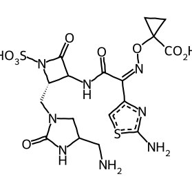 NCC1CN(C[C@H]2C(NC(=O)/C(=N\OC3(C(=O)O)CC3)c3csc(N)n3)C(=O)N2S(=O)(=O)O)C(=O)N1